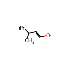 CC(C)C(C)/C=C/[O]